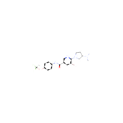 CN(C)[C@@H]1CCN(c2ncc(C(=O)Nc3ccc(OC(F)(F)Cl)cc3)cc2Br)C1